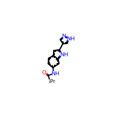 CC(C)C(=O)Nc1ccc2cc(-c3cn[nH]c3)[nH]c2c1